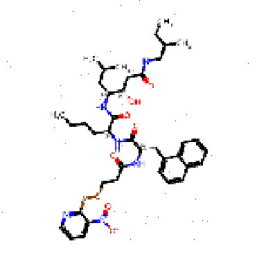 CCCC[C@H](NC(=O)[C@H](Cc1cccc2ccccc12)NC(=O)CCSSc1ncccc1[N+](=O)[O-])C(=O)N[C@@H](CC(C)C)[C@@H](O)CC(=O)NCC(C)CC